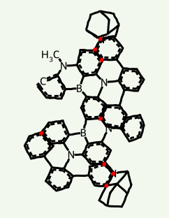 CN1c2ccccc2B2c3cc4c(cc3N(c3c(-c5ccccc5)cccc3-c3ccccc3)c3cc(N5CC6CC7CC6CC5C7)cc1c32)N(c1ccccc1)c1cc(N2C3CC5CC(C3)CC2C5)cc2c1B4c1ccccc1N2c1c(-c2ccccc2)cccc1-c1ccccc1